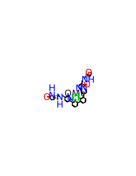 COc1nc(-c2cccc(-c3cccc(-c4ccn5c(=O)c(CNC[C@H]6CCO6)cnc5c4)c3Cl)c2Cl)ccc1CNC[C@@H]1CCC(=O)N1